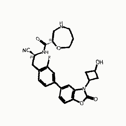 N#C[C@H](Cc1ccc(-c2ccc3oc(=O)n(C4CC(O)C4)c3c2)cc1F)NC(=O)[C@@H]1CNCCCO1